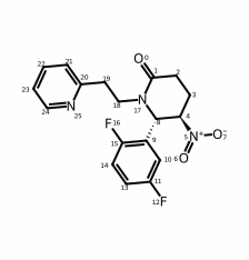 O=C1CC[C@@H]([N+](=O)[O-])[C@H](c2cc(F)ccc2F)N1CCc1ccccn1